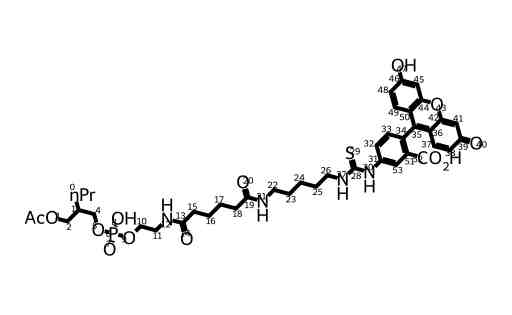 CCCC(COC(C)=O)COP(=O)(O)OCCNC(=O)CCCCC(=O)NCCCCCNC(=S)Nc1ccc(-c2c3ccc(=O)cc-3oc3cc(O)ccc23)c(C(=O)O)c1